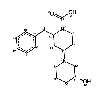 O=C(O)N1CCC(N2CCC[C@@H](O)C2)CC1Cc1ccccc1